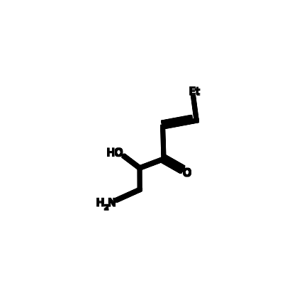 CCC=CC(=O)C(O)CN